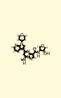 CNc1cc(-c2cn(C3CCOCC3)c3ncccc23)nc2c(C(=O)N[C@H]3COC[C@H]3O)cnn12